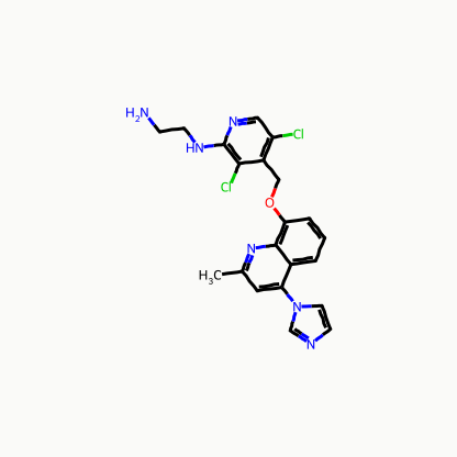 Cc1cc(-n2ccnc2)c2cccc(OCc3c(Cl)cnc(NCCN)c3Cl)c2n1